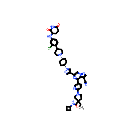 CCC1(C(=O)NC2CCC2)CCN(c2ccc(-c3nc(-c4cnn([C@H]5CC[C@@H](N6CCC(c7ccc(NC8CCC(=O)NC8=O)cc7Cl)CC6)CC5)c4)cn4ncc(C#N)c34)cn2)CC1